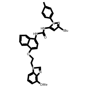 COc1cccc2c1ncn2CCOc1ccc(NC(=O)Nc2cc(C(C)(C)C)nn2-c2ccc(C)cc2)c2ccccc12